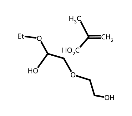 C=C(C)C(=O)O.CCOC(O)COCCO